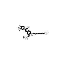 COc1cc(C=C(C#N)c2ccc3c(c2)OCO3)ccc1OCCCCCCCCO